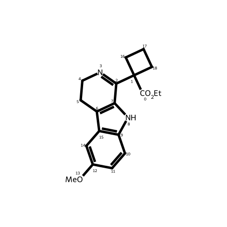 CCOC(=O)C1(C2=NCCc3c2[nH]c2ccc(OC)cc32)CCC1